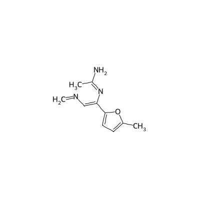 C=N/C=C(\N=C(/C)N)c1ccc(C)o1